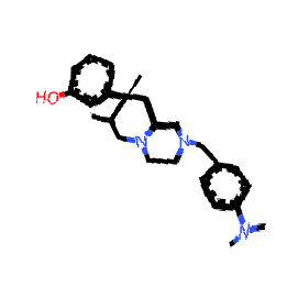 CC1CN2CCN(Cc3ccc(N(C)C)cc3)CC2C[C@@]1(C)c1cccc(O)c1